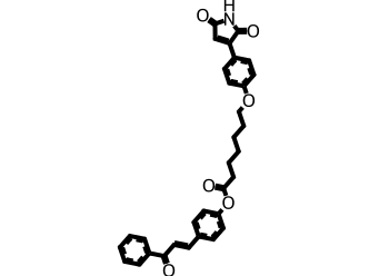 O=C1C=C(c2ccc(OCCCCCCC(=O)Oc3ccc(C=CC(=O)c4ccccc4)cc3)cc2)C(=O)N1